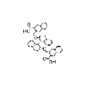 O=C(O)c1cc2ccccc2cc1COc1ccc2ccccc2c1-c1c(OCc2cc3ccccc3cc2C(=O)O)ccc2ccccc12